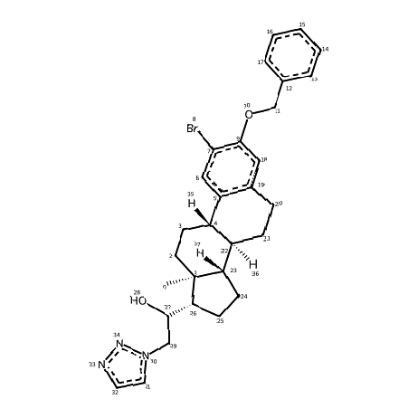 C[C@]12CC[C@@H]3c4cc(Br)c(OCc5ccccc5)cc4CC[C@H]3[C@@H]1CC[C@@H]2C(O)Cn1ccnn1